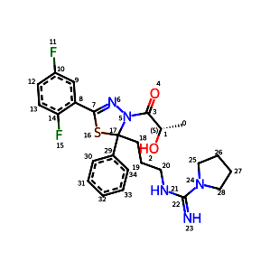 C[C@H](O)C(=O)N1N=C(c2cc(F)ccc2F)SC1(CCCNC(=N)N1CCCC1)c1ccccc1